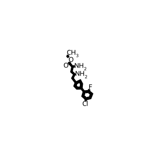 CCOC(=O)C(N)C[C@H](N)Cc1ccc(-c2cc(Cl)ccc2F)cc1